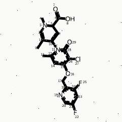 CC1=CN(C)C(C(=O)O)C=C1n1c(C)cc(OCc2ncc(F)cc2F)c(Cl)c1=O